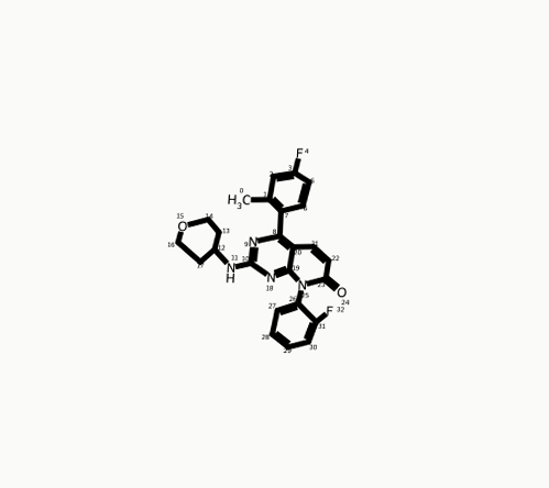 Cc1cc(F)ccc1-c1nc(NC2CCOCC2)nc2c1ccc(=O)n2-c1ccccc1F